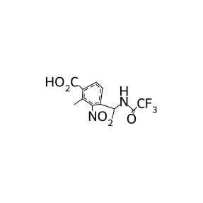 Cc1c(C(=O)O)ccc(C(C)NC(=O)C(F)(F)F)c1[N+](=O)[O-]